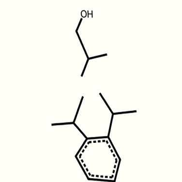 CC(C)CO.CC(C)c1ccccc1C(C)C